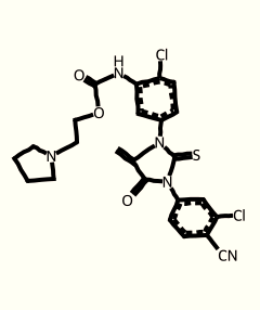 C=C1C(=O)N(c2ccc(C#N)c(Cl)c2)C(=S)N1c1ccc(Cl)c(NC(=O)OCCN2CCCC2)c1